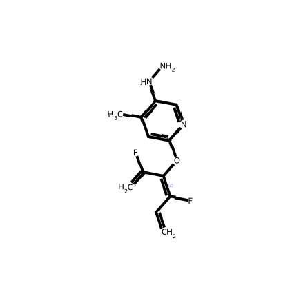 C=C/C(F)=C(/Oc1cc(C)c(NN)cn1)C(=C)F